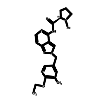 CC(=O)N1CCC[C@@H]1C(=O)Nc1nccc2nn(Cc3cnc(OCC(F)(F)F)c(C)c3)cc12